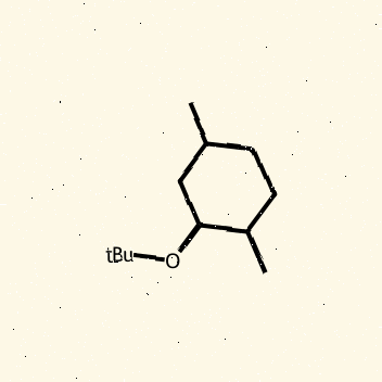 CC1CCC(C)C(OC(C)(C)C)C1